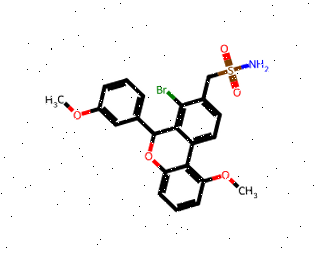 COc1cccc(C2Oc3cccc(OC)c3-c3ccc(CS(N)(=O)=O)c(Br)c32)c1